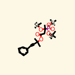 CC(C)(C#Cc1ccccc1)OC(=O)CC(C)(O[Si](C)(C)C)P(=O)(O[Si](C)(C)C)O[Si](C)(C)C